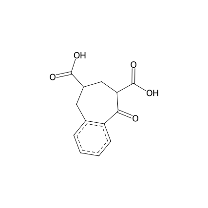 O=C(O)C1Cc2ccccc2C(=O)C(C(=O)O)C1